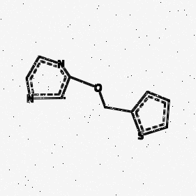 [c]1nccnc1OCc1cccs1